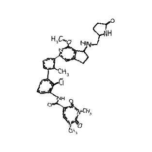 COc1nc(-c2cccc(-c3cccc(NC(=O)c4cn(C)c(=O)n(C)c4=O)c3Cl)c2C)cc2c1C(NCC1CCC(=O)N1)CC2